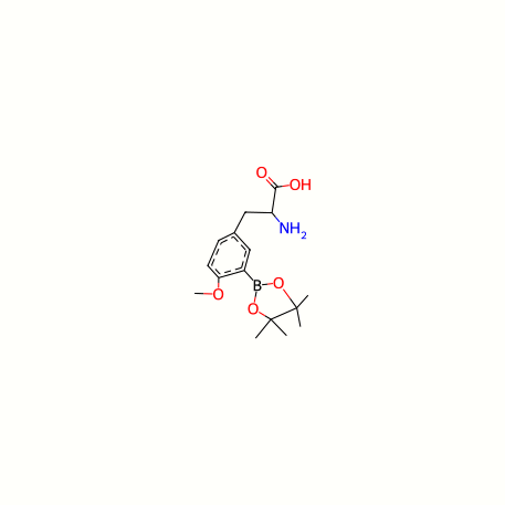 COc1ccc(CC(N)C(=O)O)cc1B1OC(C)(C)C(C)(C)O1